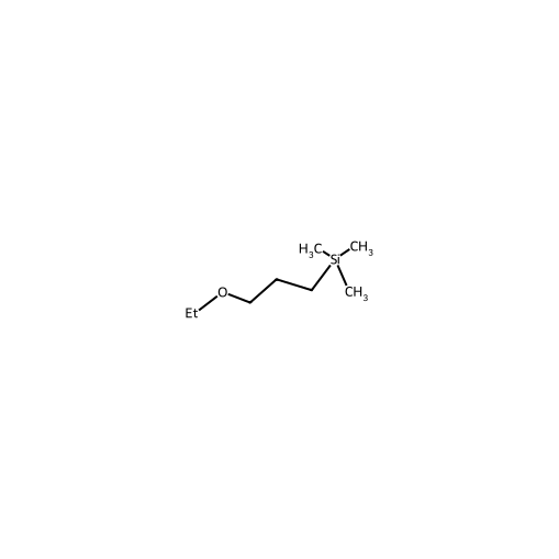 [CH2]COCCC[Si](C)(C)C